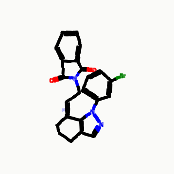 O=C1c2ccccc2C(=O)N1C/C=C1/CCCc2cnn(-c3cccc(Br)c3)c21